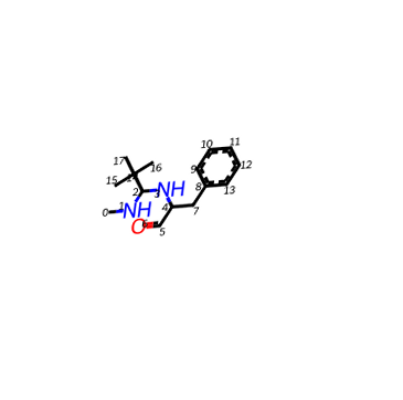 CNC(NC(C=O)Cc1ccccc1)C(C)(C)C